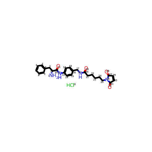 Cl.N[C@@H](Cc1ccccc1)C(=O)Nc1ccc(CNC(=O)CCCCCN2C(=O)C=CC2=O)cc1